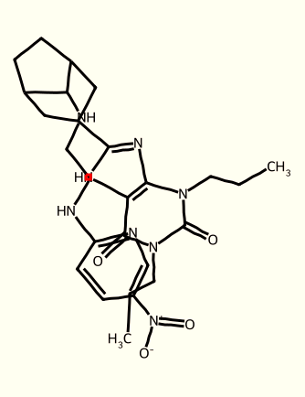 CCCn1c(=O)c2[nH]c(C3CC4CCC(C3)C4NCCNc3ccc([N+](=O)[O-])cn3)nc2n(CCC)c1=O